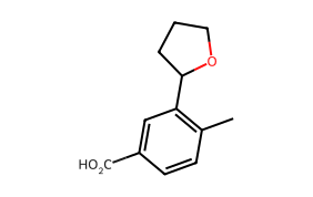 Cc1ccc(C(=O)O)cc1C1CCCO1